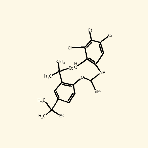 CCCC(Nc1cc(Cl)c(CC)c(Cl)c1O)Oc1ccc(C(C)(C)CC)cc1C(C)(C)CC